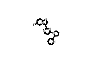 Fc1ccc2ncc(-c3nccc(N4CCCC4c4ccccn4)n3)n2c1